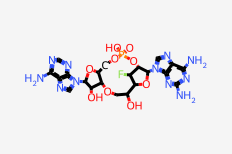 Nc1nc(N)c2ncn(C3OC4C(O)COC5C(COP(=O)(O)OC3C4F)OC(n3cnc4c(N)ncnc43)C5O)c2n1